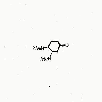 CN[C@H]1CCC(=O)C[C@H]1NC